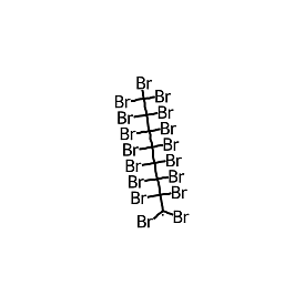 Br[C](Br)C(Br)(Br)C(Br)(Br)C(Br)(Br)C(Br)(Br)C(Br)(Br)C(Br)(Br)C(Br)(Br)Br